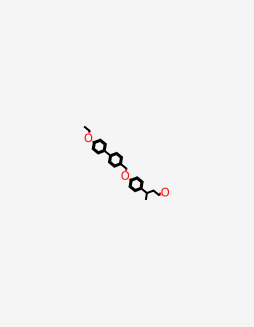 CCOc1ccc(-c2ccc(COc3ccc(C(C)CC=O)cc3)cc2)cc1